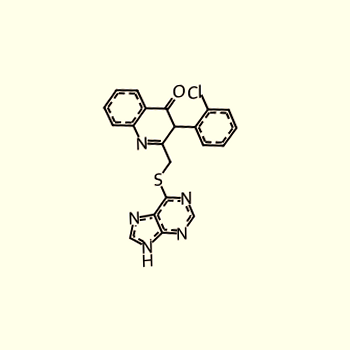 O=C1c2ccccc2N=C(CSc2ncnc3[nH]cnc23)C1c1ccccc1Cl